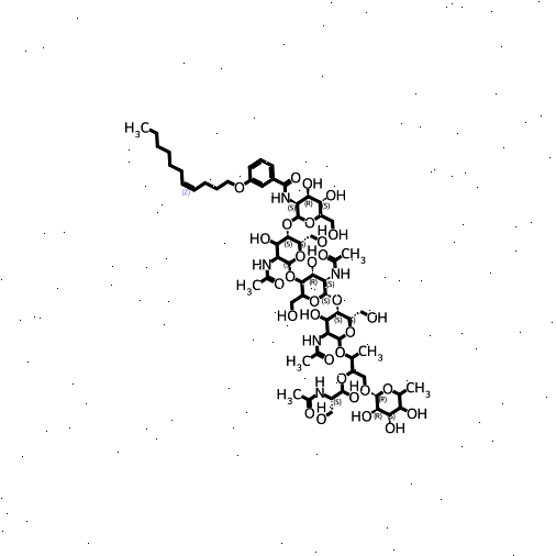 CCCCCC/C=C\CCCOc1cccc(C(=O)N[C@@H]2C(O[C@H]3C(O)C(NC(C)=O)[C@H](OC4C(CO)O[C@@H](O[C@H]5C(O)C(NC(C)=O)C(OC(C)C(CO[C@@H]6OC(C)C(O)[C@H](O)[C@H]6O)OC(O)[C@H](CO)NC(C)=O)O[C@H]5CO)[C@@H](NC(C)=O)[C@H]4O)O[C@H]3CO)OC(CO)[C@@H](O)[C@@H]2O)c1